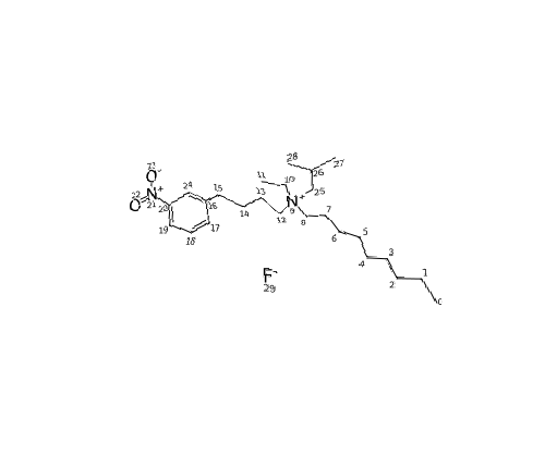 CCCCCCCCC[N+](CC)(CCCCc1cccc([N+](=O)[O-])c1)CC(C)C.[F-]